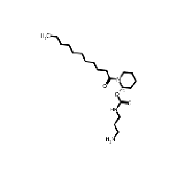 CCCCCCCCCCC(=O)N1CCCC[C@@H]1OC(=O)NCCCN